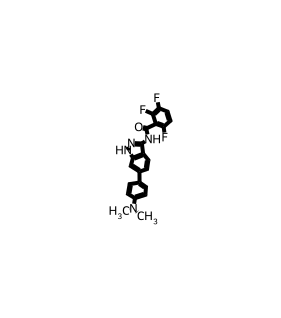 CN(C)c1ccc(-c2ccc3c(NC(=O)c4c(F)ccc(F)c4F)n[nH]c3c2)cc1